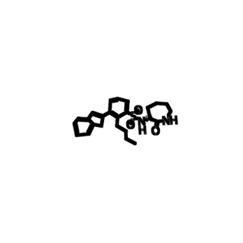 CCCCc1c(C2=Cc3ccccc3C2)cccc1S(=O)(=O)N[C@@H]1CCCCNC1=O